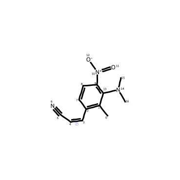 Cc1c(/C=C\C#N)ccc([N+](=O)[O-])c1N(C)C